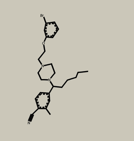 CCCCCC(c1ccc(C#N)c(C)c1)N1CCN(CCOc2cccc(Br)c2)CC1